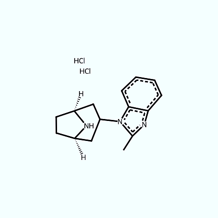 Cc1nc2ccccc2n1C1C[C@H]2CC[C@@H](C1)N2.Cl.Cl